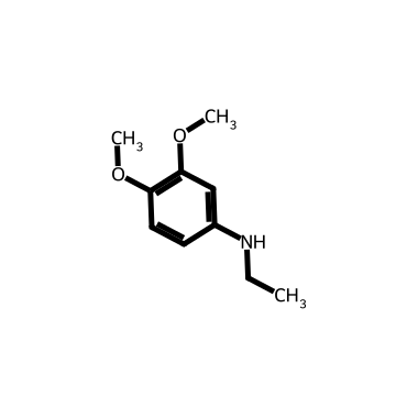 CCNc1ccc(OC)c(OC)c1